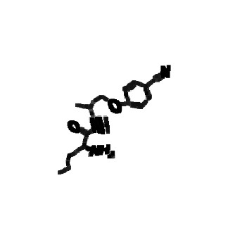 CCC[C@H](N)C(=O)NC(C)COc1ccc(C#N)cc1